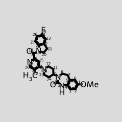 COc1ccc2c(c1)CCN(C1CCN(c3cc(C(=O)N4CCc5cc(F)ccc54)ncc3C)CC1)C(=O)N2